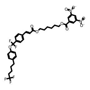 O=C(C=Cc1ccc(C(F)(F)Oc2ccc(CCCCC(F)(F)F)cc2)cc1)OCCCCCCOC(=O)c1cc([N+](=O)[O-])cc([N+](=O)[O-])c1